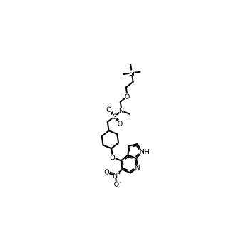 CN(COCC[Si](C)(C)C)S(=O)(=O)CC1CCC(Oc2c([N+](=O)[O-])cnc3[nH]ccc23)CC1